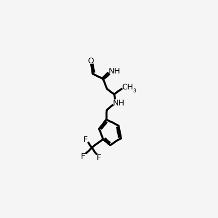 CC(CC(=N)C=O)NCc1cccc(C(F)(F)F)c1